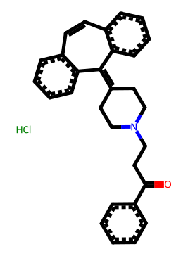 Cl.O=C(CCN1CCC(=C2c3ccccc3C=Cc3ccccc32)CC1)c1ccccc1